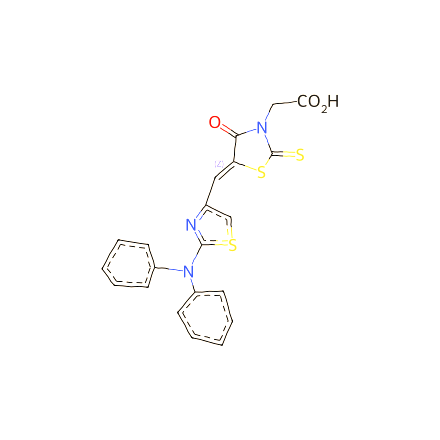 O=C(O)CN1C(=O)/C(=C/c2csc(N(c3ccccc3)c3ccccc3)n2)SC1=S